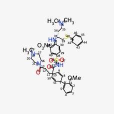 COc1ccccc1C1C=CC(CCC(=O)N2CCN(C)CC2)(C(=O)NS(=O)(=O)c2ccc(N[C@H](CCN(C)C)CSc3ccccc3)c([N+](=O)[O-])c2)C=C1